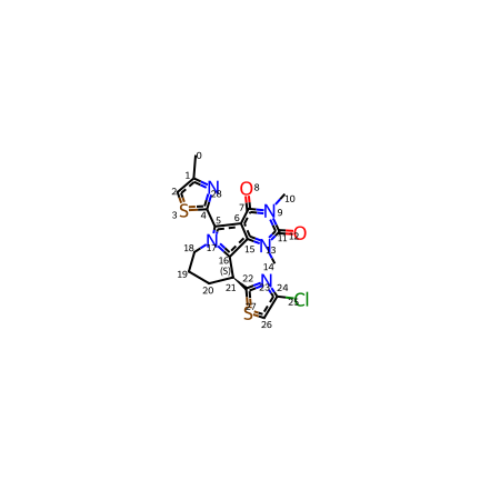 Cc1csc(-c2c3c(=O)n(C)c(=O)n(C)c3c3n2CCC[C@@H]3c2nc(Cl)cs2)n1